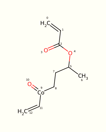 C=CC(=O)OC(C)C[CH2][Co](=[O])[CH]=C